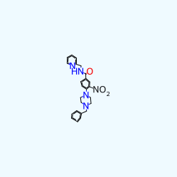 O=C(NCc1ccccn1)c1ccc(N2CCN(Cc3ccccc3)CC2)c([N+](=O)[O-])c1